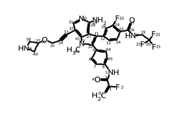 C=C(F)C(=O)Nc1ccc(-c2c(-c3ccc(C(=O)NCC(F)(F)F)c(F)c3)c3c(N)ncc(C#CCOC4CNC4)c3n2C)cc1